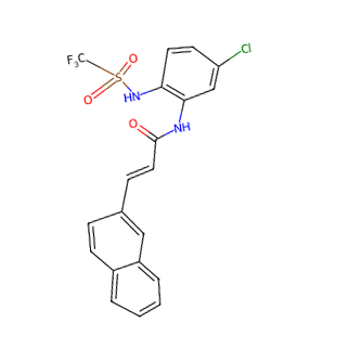 O=C(C=Cc1ccc2ccccc2c1)Nc1cc(Cl)ccc1NS(=O)(=O)C(F)(F)F